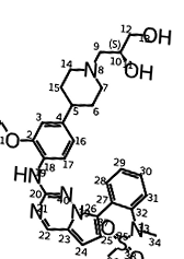 COc1cc(C2CCN(C[C@H](O)CO)CC2)ccc1Nc1ncc2ccc(-c3ccccc3N(C)S(C)(=O)=O)n2n1